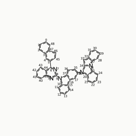 c1ccc2cc(-c3nc(-n4c5ccccc5c5cc(-n6c7ccccc7n7c8ccccc8cc67)ccc54)nc4ccccc34)ccc2c1